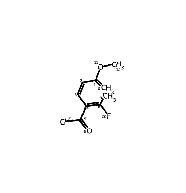 C=C(/C=C\C(C(=O)Cl)=C(/C)F)OC